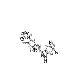 CCCC(=O)N(C)c1cc2nc(-c3n[nH]c4c3C[C@@H]3C[C@]3(C)C4)[nH]c2cc1C